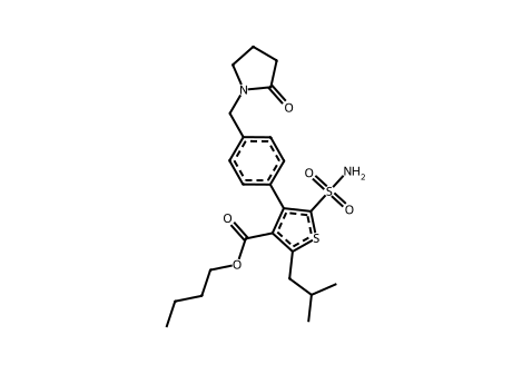 CCCCOC(=O)c1c(CC(C)C)sc(S(N)(=O)=O)c1-c1ccc(CN2CCCC2=O)cc1